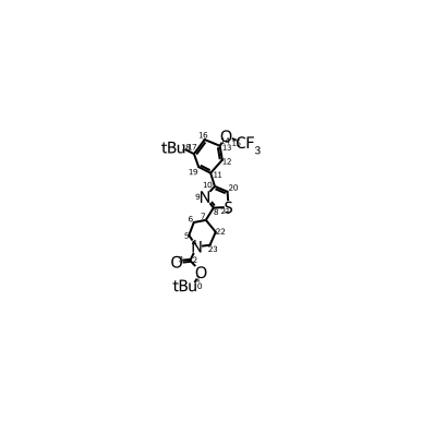 CC(C)(C)OC(=O)N1CCC(c2nc(-c3cc(OC(F)(F)F)cc(C(C)(C)C)c3)cs2)CC1